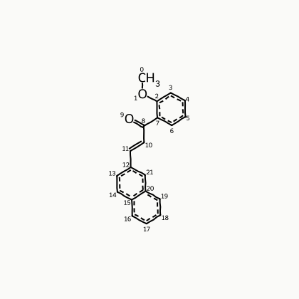 COc1ccccc1C(=O)C=Cc1ccc2ccccc2c1